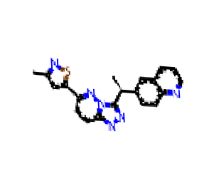 Cc1cc(-c2ccc3nnc([C@@H](C)c4ccc5ncccc5c4)n3n2)sn1